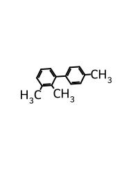 Cc1ccc(-c2cccc(C)c2C)cc1